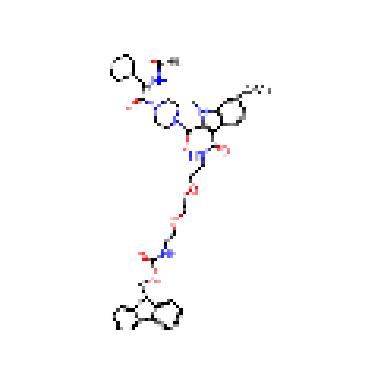 C[CH]C(=O)N[C@H](C(=O)N1CCN(C(=O)c2c(C(=O)NCCOCCOCCNC(=O)OCC3c4ccccc4-c4ccccc43)c3ccc(OC)cc3n2C)CC1)C1CCCCC1